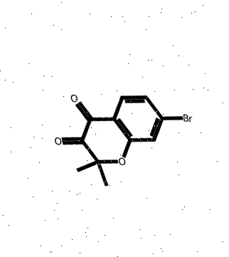 CC1(C)Oc2cc(Br)ccc2C(=O)C1=O